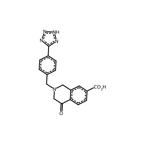 O=C(O)c1ccc2c(c1)CN(Cc1ccc(-c3nn[nH]n3)cc1)CC2=O